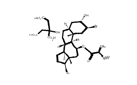 CCCCC(NC)C(=O)O[C@H]1C[C@]2(C)[C@@H](C(C)=O)CC[C@H]2[C@@H]2CC[C@H]3C[C@H](O)[C@@H](Br)C[C@]3(C)[C@H]21.O=C(O)CC(O)(CC(=O)O)C(=O)O